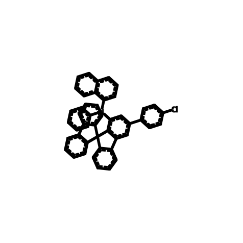 Clc1ccc(-c2cc3c(c(N(c4ccccc4)c4cccc5ccccc45)c2)C2(c4ccccc4-c4ccccc42)c2ccccc2-3)cc1